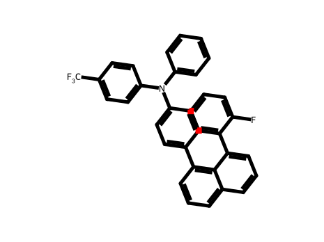 Fc1ccccc1-c1cccc2cccc(-c3ccc(N(c4ccccc4)c4ccc(C(F)(F)F)cc4)cc3)c12